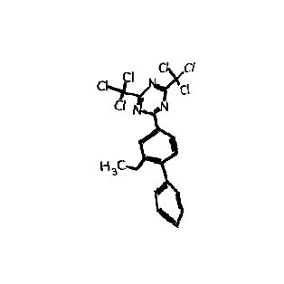 CCc1cc(-c2nc(C(Cl)(Cl)Cl)nc(C(Cl)(Cl)Cl)n2)ccc1-c1ccccc1